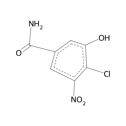 NC(=O)c1cc(O)c(Cl)c([N+](=O)[O-])c1